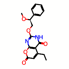 CCc1cc(=O)oc2nc(OC[C@@H](OC)c3ccccc3)[nH]c(=O)c12